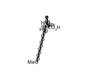 COCCOCCOCCOCCOCCOCCOCCOCCOCCOCC(=O)NCCCC[C@H](NC(=O)OCc1ccccc1)C(=O)N([C@H](C(=O)O)C(C)C)C(C)(C)C